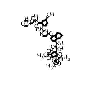 C#Cc1ccc(Nc2nccc(Oc3ccc(NC(=O)Nc4cc(C(C)(C)C)cc(NS(C)(=O)=O)c4OC)c4ccccc34)n2)c(C(=O)N[C@@H](C)CN2CCOCC2)c1